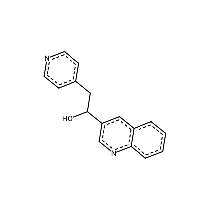 OC(Cc1ccncc1)c1cnc2ccccc2c1